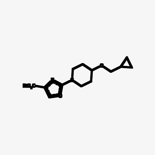 CCOC(=O)c1coc(N2CCC(OCC3CC3)CC2)n1